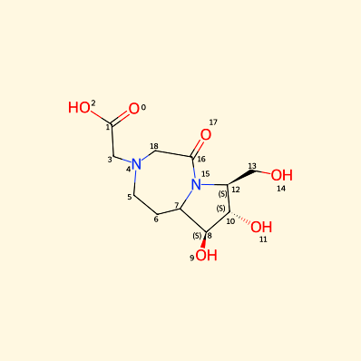 O=C(O)CN1CCC2[C@H](O)[C@@H](O)[C@H](CO)N2C(=O)C1